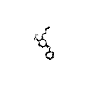 C=CCSC1C/C(=N/c2ccccc2)C=C/C1=N/C(C)C